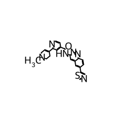 CN1CC=C(c2cc(C(=O)Nc3cc4cc(-c5cncs5)ccc4nn3)ccn2)CC1